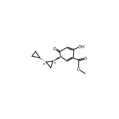 COC(=O)c1cn([C@H]2C[C@@H]2C2CC2)c(=O)cc1O